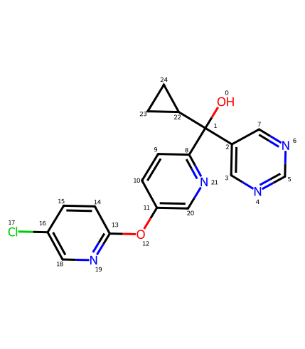 OC(c1cncnc1)(c1ccc(Oc2ccc(Cl)cn2)cn1)C1CC1